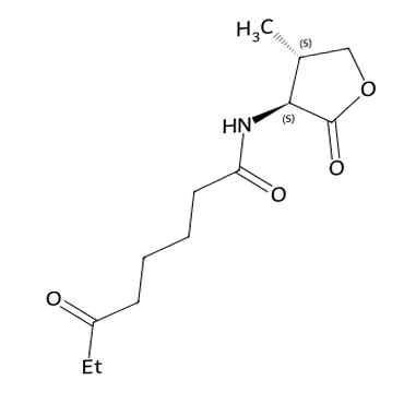 CCC(=O)CCCCC(=O)N[C@@H]1C(=O)OC[C@H]1C